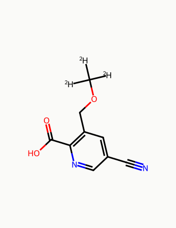 [2H]C([2H])([2H])OCc1cc(C#N)cnc1C(=O)O